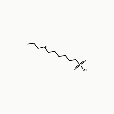 CCCNCCCCCCS(=O)(=O)O